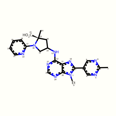 CCn1c(-c2cnc(C)nc2)nc2c(NC3CN(c4ccccn4)[C@@](C)(C(=O)O)C3)ncnc21